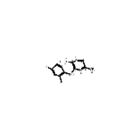 Cc1cc(F)ccc1Nc1nc(C(F)(F)F)cnc1C(=O)O